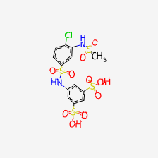 CS(=O)(=O)Nc1cc(S(=O)(=O)Nc2cc(S(=O)(=O)O)cc(S(=O)(=O)O)c2)ccc1Cl